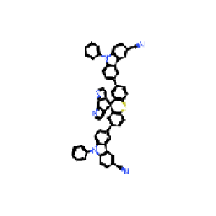 N#Cc1ccc2c(c1)c1cc(-c3ccc4c(c3)C3(c5cc(-c6ccc7c(c6)c6cc(C#N)ccc6n7-c6ccccc6)ccc5S4)c4cccnc4-c4ncccc43)ccc1n2-c1ccccc1